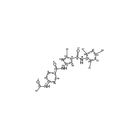 CC(=O)Nc1ccc(C(=O)Nc2nc(C)c(C(=O)Nc3c(C)cc(C)cc3C)s2)cc1